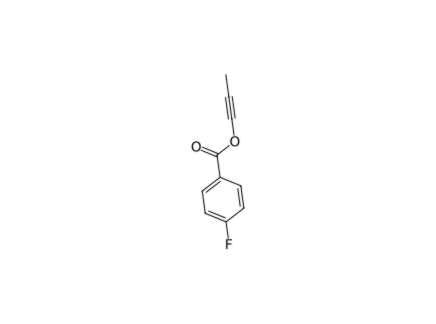 CC#COC(=O)c1ccc(F)cc1